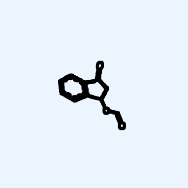 O=COC1CC(=O)c2ccccc21